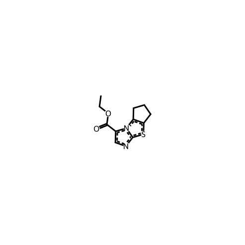 CCOC(=O)c1cnc2sc3c(n12)CCC3